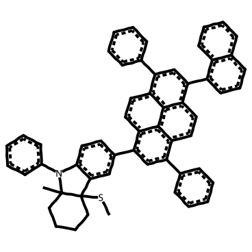 CSC12CCCCC1(C)N(c1ccccc1)c1ccc(-c3cc(-c4ccccc4)c4ccc5c(-c6cccc7ccccc67)cc(-c6ccccc6)c6ccc3c4c65)cc12